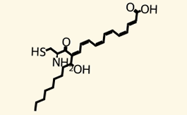 CCCCCCCCC(O)C(=C\C=C/C=C\C=C/C=C\C=CC(=O)O)C(=O)[C@@H](N)CS